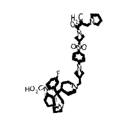 C=C(CN1CCCC1)C(=O)N1CC(S(=O)(=O)c2ccc(N3CC(CN4CCC(C(CN5CCC5)(c5cccc(F)c5)[C@H]5CCC[C@@H]5NC(=O)O)CC4)C3)cc2)C1